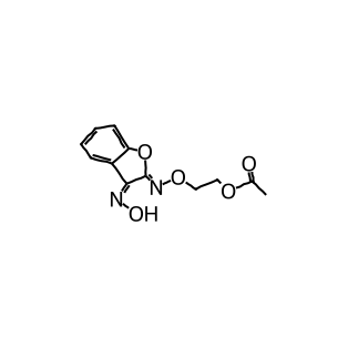 CC(=O)OCCO/N=C1\Oc2ccccc2\C1=N\O